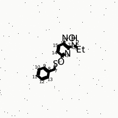 CCNc1nc(OSCc2ccccc2)ccc1[N+](=O)[O-]